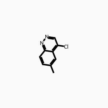 Cc1ccc2nncc(Cl)c2c1